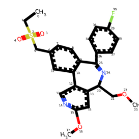 CCS(=O)(=O)Cc1ccc2c(c1)-c1cnc(OC)cc1C(COC)N=C2c1ccc(F)cc1